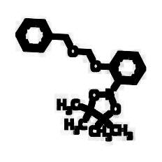 CC1(C)OB(c2ccccc2OCOCc2ccccc2)OC1(C)C